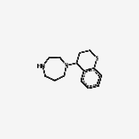 c1ccc2c(c1)SCCC2N1CCCNCC1